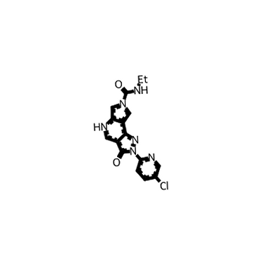 CCNC(=O)n1cc2[nH]cc3c(=O)n(-c4ccc(Cl)cn4)nc-3c2c1